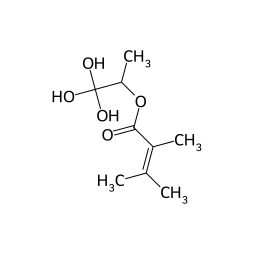 CC(C)=C(C)C(=O)OC(C)C(O)(O)O